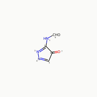 O=CNC1=NN=CC1=O